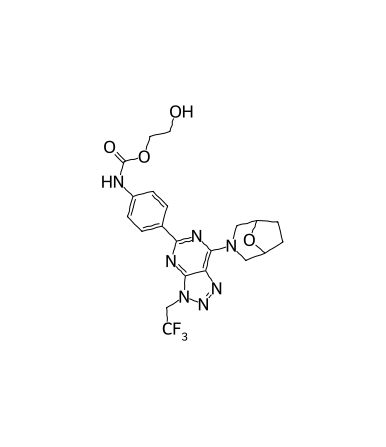 O=C(Nc1ccc(-c2nc(N3CC4CCC(C3)O4)c3nnn(CC(F)(F)F)c3n2)cc1)OCCO